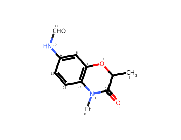 CCN1C(=O)C(C)Oc2cc(NC=O)ccc21